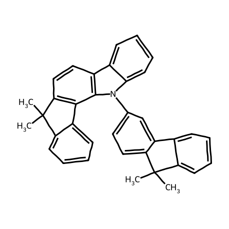 CC1(C)c2ccccc2-c2cc(-n3c4ccccc4c4ccc5c(c43)-c3ccccc3C5(C)C)ccc21